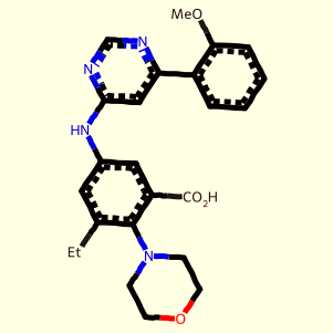 CCc1cc(Nc2cc(-c3ccccc3OC)ncn2)cc(C(=O)O)c1N1CCOCC1